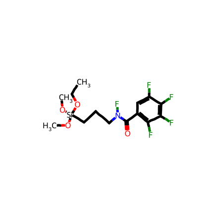 CCO[Si](CCCN(F)C(=O)c1cc(F)c(F)c(F)c1F)(OC)OC